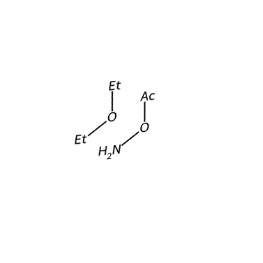 CC(=O)ON.CCOCC